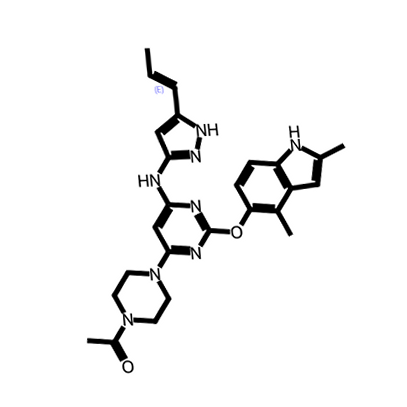 C/C=C/c1cc(Nc2cc(N3CCN(C(C)=O)CC3)nc(Oc3ccc4[nH]c(C)cc4c3C)n2)n[nH]1